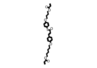 C=CC(=O)OCCCCCCOc1ccc(/C=C/C(=O)Sc2ccc(OCCCCOC(=O)C=C)cc2)cc1